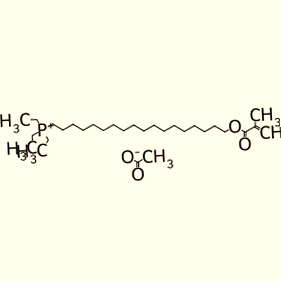 C=C(C)C(=O)OCCCCCCCCCCCCCCCCCC[P+](CC)(CC)CC.CC(=O)[O-]